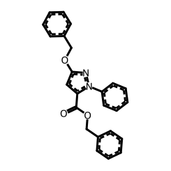 O=C(OCc1ccccc1)c1cc(OCc2ccccc2)nn1-c1ccccc1